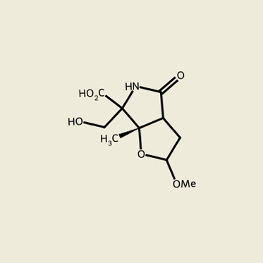 COC1CC2C(=O)NC(CO)(C(=O)O)[C@@]2(C)O1